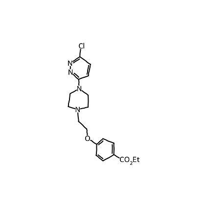 CCOC(=O)c1ccc(OCCN2CCN(c3ccc(Cl)nn3)CC2)cc1